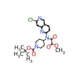 COC(=O)C(=O)N(c1ccc2cnc(Cl)cc2n1)C1CCN(C(=O)OC(C)(C)C)CC1